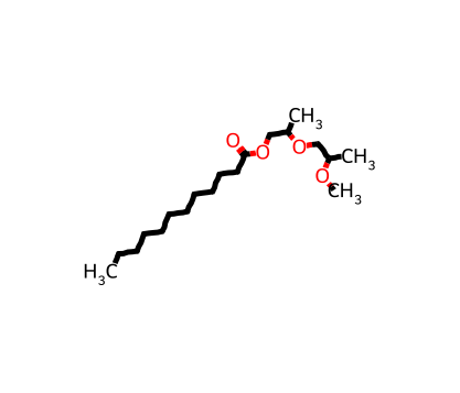 CCCCCCCCCCCC(=O)OCC(C)OCC(C)OC